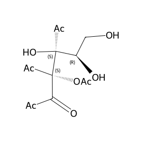 CC(=O)O[C@@](C(C)=O)(C(=O)C(C)=O)[C@](O)(C(C)=O)[C@H](O)CO